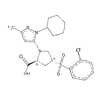 Cc1cc(N2C[C@H](S(=O)(=O)c3ccccc3Cl)C[C@H]2C(=O)O)n(C2CCCCC2)n1